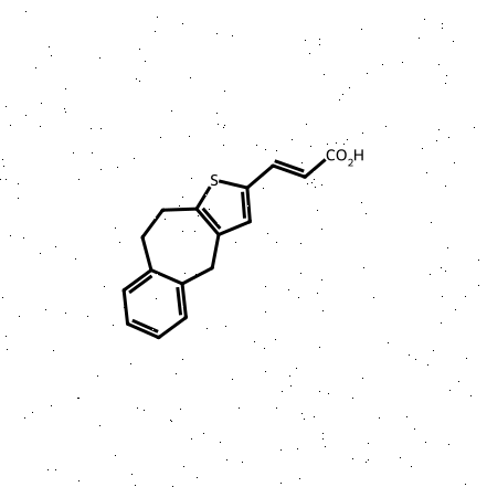 O=C(O)C=Cc1cc2c(s1)CCc1ccccc1C2